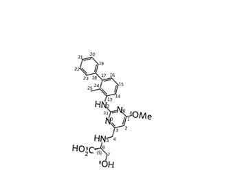 COc1cc(CN[C@@H](CO)C(=O)O)nc(Nc2cccc(-c3ccccc3)c2C)n1